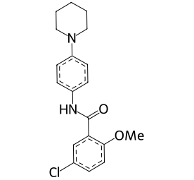 COc1ccc(Cl)cc1C(=O)Nc1ccc(N2CCCCC2)cc1